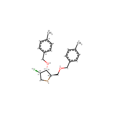 Cc1ccc(COC[C@H]2SC[C@@H](F)[C@@H]2OCc2ccc(C)cc2)cc1